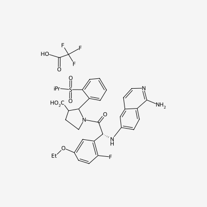 CCOc1ccc(F)c([C@@H](Nc2ccc3c(N)nccc3c2)C(=O)N2CCC(C(=O)O)C2c2ccccc2S(=O)(=O)C(C)C)c1.O=C(O)C(F)(F)F